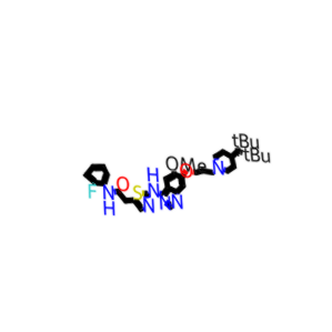 COc1cc2c(Nc3ncc(CC(=O)Nc4ccccc4F)s3)ncnc2cc1OCCCN1CCC([C](C(C)(C)C)C(C)(C)C)CC1